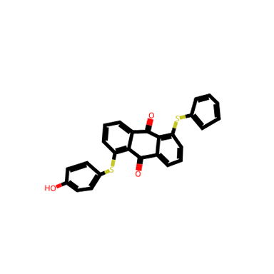 O=C1c2cccc(Sc3ccc(O)cc3)c2C(=O)c2cccc(Sc3ccccc3)c21